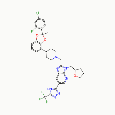 CC1(c2ccc(Cl)cc2F)Oc2cccc(C3CCN(Cc4nc5cc(-c6nnc(C(F)(F)F)[nH]6)cnc5n4CC4CCCO4)CC3)c2O1